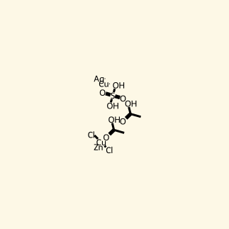 CC(=O)O.CC(=O)O.O=S(=O)(O)O.[Ag].[Cl][Cu][Cl].[Cu].[Zn]